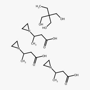 CC(CC(=O)O)N1CC1.CC(CC(=O)O)N1CC1.CC(CC(=O)O)N1CC1.CCC(CO)(CO)CO